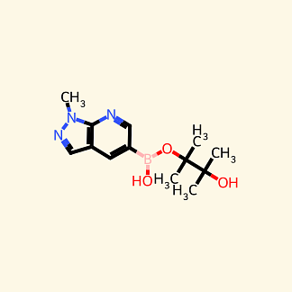 Cn1ncc2cc(B(O)OC(C)(C)C(C)(C)O)cnc21